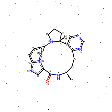 C[C@@H]1CCc2ncncc2[C@H]2CCCN2c2ccc3ncc(n3n2)C(=O)N1